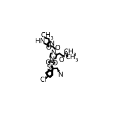 CC1Cc2nc(C(=O)N3CCN(S(=O)(=O)c4sc5cc(Cl)ccc5c4CC#N)CC3CC(=O)N(C)C)oc2CN1